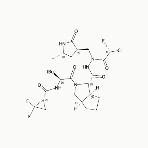 C[C@H]1C[C@H](CN(NC(=O)[C@@H]2[C@H]3CCC[C@H]3CN2C(=O)[C@@H](NC(=O)[C@@H]2CC2(F)F)C(C)(C)C)C(=O)[C@H](F)Cl)C(=O)N1